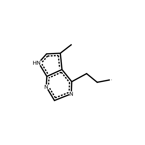 [CH2]CCc1ncnc2[nH]cc(C)c12